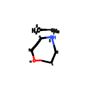 C1COCCN1.CSC